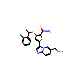 CNCc1ccc2ncc(-c3cc(OC(C)c4ccccc4Cl)c(C(N)=O)s3)n2c1